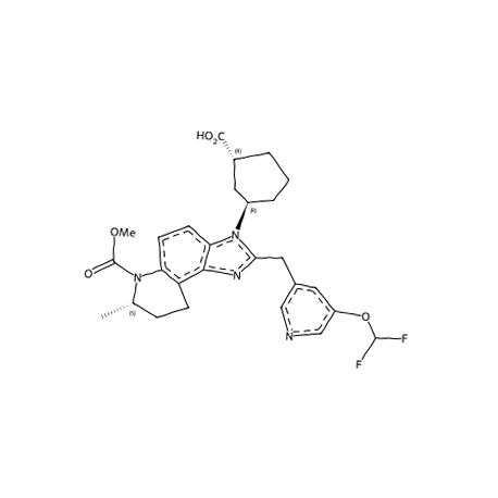 COC(=O)N1c2ccc3c(nc(Cc4cncc(OC(F)F)c4)n3[C@@H]3CCC[C@@H](C(=O)O)C3)c2CC[C@@H]1C